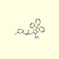 Nc1nc(C(c2ccccc2)(c2ccccc2)c2ccccc2)sc1CC(=O)Nc1cccc(F)c1